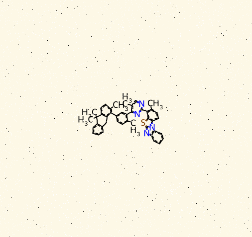 Cc1ccc(-c2c(C)ccc3c2Cc2ccccc2C3(C)C)cc1-c1nc(-c2c(C)ccc3c2sc2nc4ccccc4n23)ncc1C